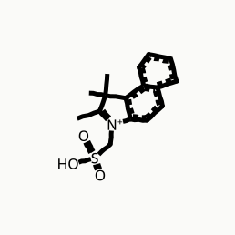 CC1=[N+](CS(=O)(=O)O)c2ccc3ccccc3c2C1(C)C